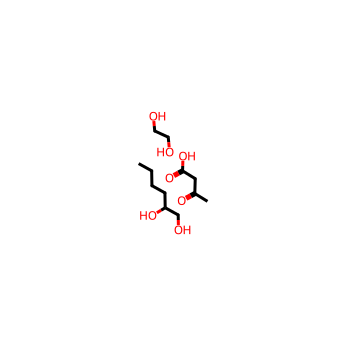 CC(=O)CC(=O)O.CCCCC(O)CO.OCCO